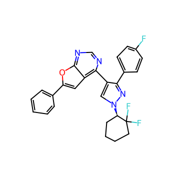 Fc1ccc(-c2nn([C@@H]3CCCCC3(F)F)cc2-c2ncnc3oc(-c4ccccc4)cc23)cc1